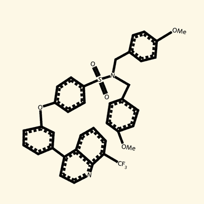 COc1ccc(CN(Cc2ccc(OC)cc2)S(=O)(=O)c2ccc(Oc3cccc(-c4ccnc5c(C(F)(F)F)cccc45)c3)cc2)cc1